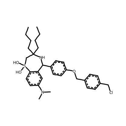 CCCCC1(CCCC)CS(O)(O)c2ccc(N(C)C)cc2C(c2ccc(OCc3ccc(CCl)cc3)cc2)N1